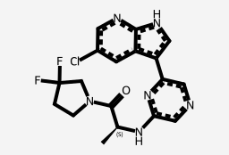 C[C@H](Nc1cncc(-c2c[nH]c3ncc(Cl)cc23)n1)C(=O)N1CCC(F)(F)C1